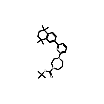 CC(C)(C)OC(=O)N1CCCN(c2cccc(-c3ccc4c(c3)C(C)(C)CCC4(C)C)n2)CC1